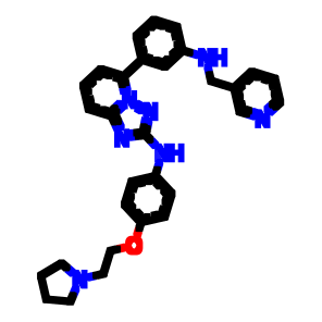 c1cncc(CNc2cccc(-c3cccc4nc(Nc5ccc(OCCN6CCCC6)cc5)nn34)c2)c1